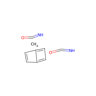 C.N=C=O.N=C=O.c1cc2ccc1-2